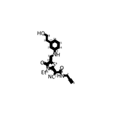 C#CCNC(=O)C(C#N)=c1sc(=CNc2cccc(CCO)c2)c(=O)n1CC